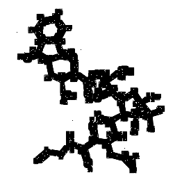 C=CCNC(=O)C(=O)C(CC1CC1)NC(=O)[C@@H]1[C@@H]2[C@H](CN1C(=O)[C@@H](NC(=O)N[C@H](CN1C(=O)c3ccncc3C1=O)C(C)(C)C)C(C)(C)C)C2(C)C